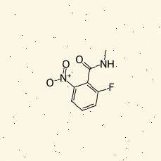 CNC(=O)c1c(F)cccc1[N+](=O)[O-]